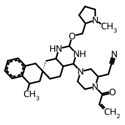 C=CC(=O)N1CCN(C2NC(OCC3CCCN3C)NC3C[C@@]4(CCC32)Cc2ccccc2C(C)C4)CC1CC#N